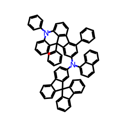 c1ccc(-c2cc(N(c3ccc4c(c3)C3(c5ccccc5-c5ccccc53)c3ccccc3-4)c3cccc4ccccc34)cc3c2-c2cccc4c2C3(c2ccccc2)c2ccccc2N4c2ccccc2)cc1